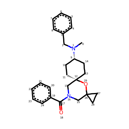 CN(Cc1ccccc1)[C@H]1CC[C@@]2(CC1)CN(C(=O)c1ccccc1)CC1(CC1)O2